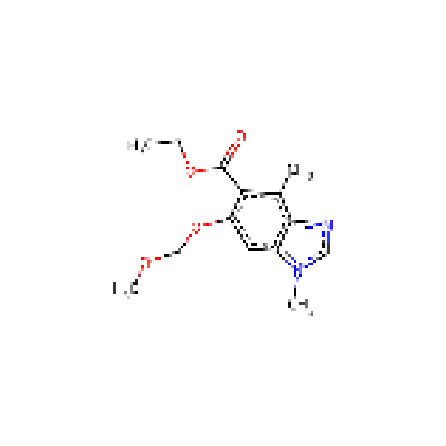 CCOC(=O)c1c(OCOC)cc2c(ncn2C)c1C